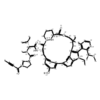 CC#CC(=O)N1CC[C@H](C(=O)N(C)[C@@H](C(=O)N[C@H]2Cc3cc(O)cc(c3)-c3ccc4c(c3)c(c(-c3c(C)ccnc3[C@H](C)OC)n4CC)CC(C)(C)COC(=O)[C@@H]3CCCN(N3)C2=O)C(C)C)C1